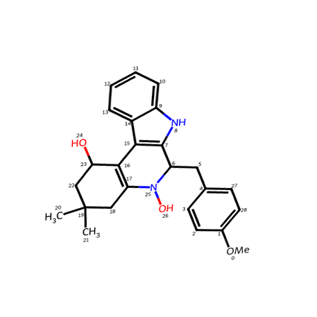 COc1ccc(CC2c3[nH]c4ccccc4c3C3=C(CC(C)(C)CC3O)N2O)cc1